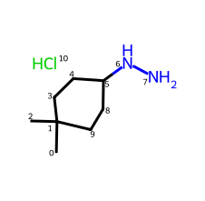 CC1(C)CCC(NN)CC1.Cl